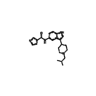 CC(C)CN1CCC(c2c[nH]c3ccc(NC(=O)c4ccsc4)cc23)CC1